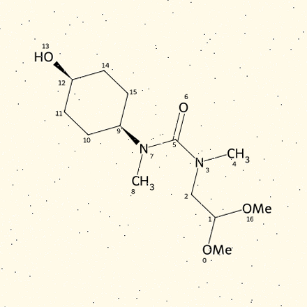 COC(CN(C)C(=O)N(C)[C@H]1CC[C@@H](O)CC1)OC